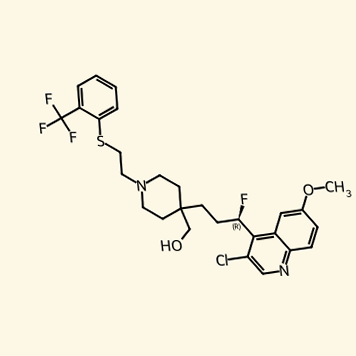 COc1ccc2ncc(Cl)c([C@H](F)CCC3(CO)CCN(CCSc4ccccc4C(F)(F)F)CC3)c2c1